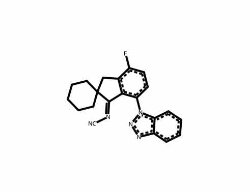 N#C/N=C1/c2c(-n3nnc4ccccc43)ccc(F)c2CC12CCCCC2